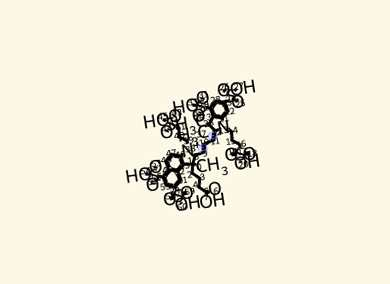 CC1(CCCC(=O)O)C(/C=C/C=C2/N(CCCS(=O)(=O)O)c3cc(S(=O)(=O)O)cc(S(=O)(=O)O)c3C2(C)C)=[N+](CCCS(=O)(=O)O)c2ccc3c(S(=O)(=O)O)cc(S(=O)(=O)O)cc3c21